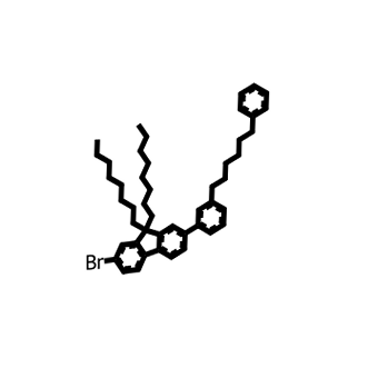 CCCCCCCCC1(CCCCCCCC)c2cc(Br)ccc2-c2ccc(-c3cccc(CCCCCCc4ccccc4)c3)cc21